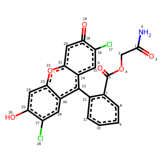 NC(=O)COC(=O)c1ccccc1-c1c2cc(Cl)c(=O)cc-2oc2cc(O)c(Cl)cc12